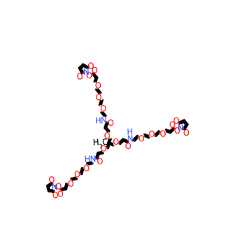 CC(COCCC(=O)NCCOCCOCCOCCC(=O)ON1C(=O)CCC1=O)(COCCC(=O)NCCOCCOCCOCCC(=O)ON1C(=O)CCC1=O)COCCC(=O)NCCOCCOCCOCCC(=O)ON1C(=O)CCC1=O